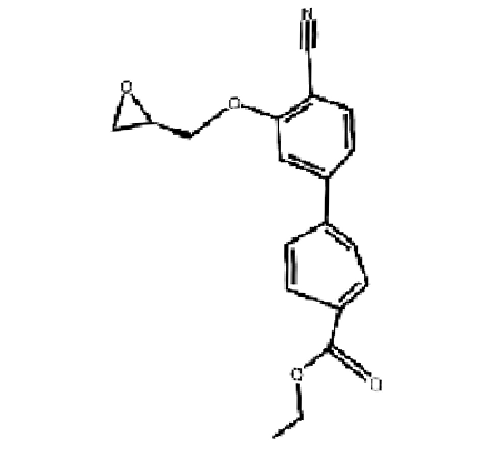 CCOC(=O)c1ccc(-c2ccc(C#N)c(OC[C@H]3CO3)c2)cc1